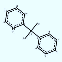 CC(C)(c1ccccc1)c1ccccn1